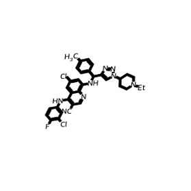 CCN1CCC(n2cc(C(Nc3cc(Cl)cc4c(Nc5ccc(F)c(Cl)c5)c(C#N)cnc34)c3ccc(C)cc3)nn2)CC1